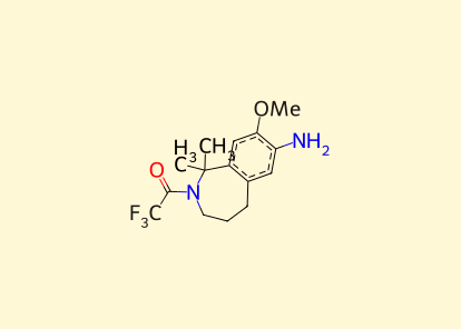 COc1cc2c(cc1N)CCCN(C(=O)C(F)(F)F)C2(C)C